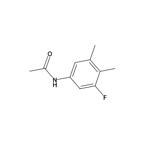 CC(=O)Nc1cc(C)c(C)c(F)c1